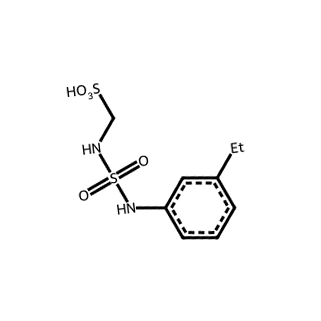 CCc1cccc(NS(=O)(=O)NCS(=O)(=O)O)c1